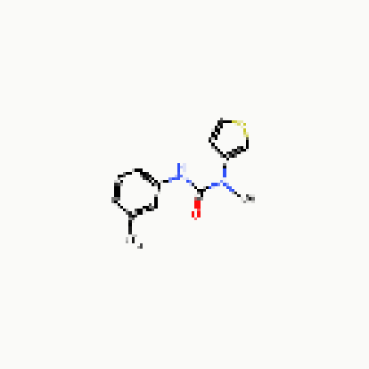 CCC(C)N(C(=O)Nc1cccc(C(F)(F)F)c1)c1ccsc1